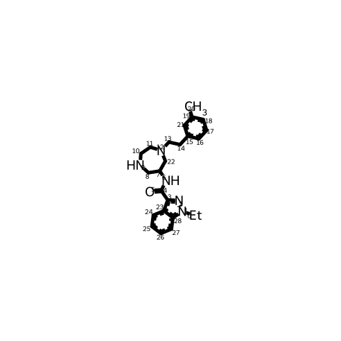 CCn1nc(C(=O)NC2CNCCN(CCc3cccc(C)c3)C2)c2ccccc21